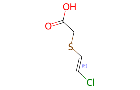 O=C(O)CS/C=C/Cl